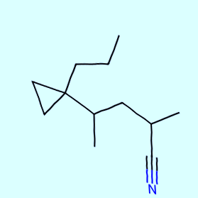 CCCC1(C(C)CC(C)C#N)CC1